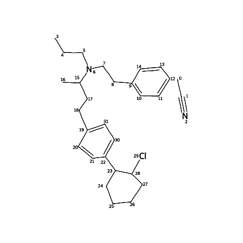 CC#N.CCCN(CCc1ccccc1)C(C)CCc1ccc(C2CCCCC2Cl)cc1